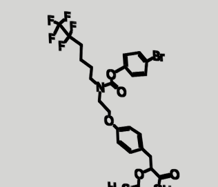 CCOC(Cc1ccc(OCCN(CCCCC(F)(F)C(F)(F)F)C(=O)Oc2ccc(Br)cc2)cc1)C(=O)O